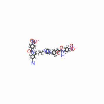 N#Cc1ccc2c(c1)c(CCCCN1CCN(c3ccc4oc(C(=O)Nc5ccc([N+](=O)[O-])cc5)cc4c3)CC1)cn2C(=O)c1ccc([N+](=O)[O-])cc1